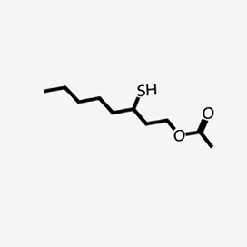 CCCCCC(S)CCOC(C)=O